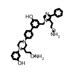 NOCCc1c(-c2ccccc2)ncn1Cc1cc(O)cc(-c2ccc(N3CCN(c4cccc(O)c4)C(CCON)C3)cc2)c1